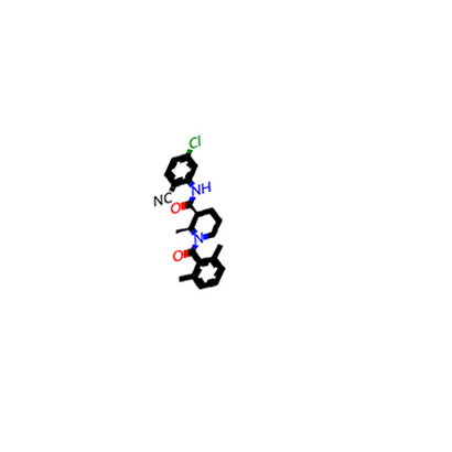 Cc1cccc(C)c1C(=O)N1CCC[C@H](C(=O)Nc2cc(Cl)ccc2C#N)[C@@H]1C